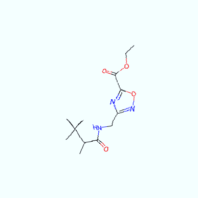 CCOC(=O)c1nc(CNC(=O)C(C)C(C)(C)C)no1